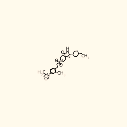 CC[C@H]1CC[C@H](C2=NC3(CCN(S(=O)(=O)CCc4ccc(N5COCC5C)cc4C)CC3)C(=O)N2)CC1